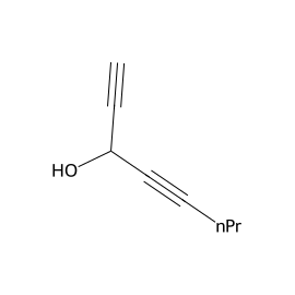 C#CC(O)C#CCCC